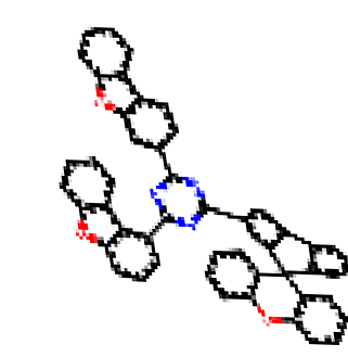 c1ccc2c(c1)Oc1ccccc1C21c2ccccc2-c2ccc(-c3nc(-c4ccc5c(c4)oc4ccccc45)nc(-c4cccc5oc6ccccc6c45)n3)cc21